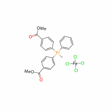 COC(=O)c1ccc([P+](C)(c2ccccc2)c2ccc(C(=O)OC)cc2)cc1.[Cl][Fe-]([Cl])([Cl])[Cl]